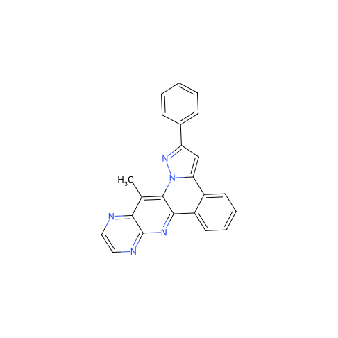 Cc1c2nccnc2nc2c3ccccc3c3cc(-c4ccccc4)nn3c12